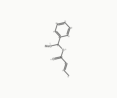 C/C=C/C(=O)OC(OC)c1ccccc1